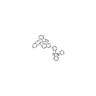 c1ccc(-n2c(-c3cccc(-c4ccc5c6c(ccc5c4)-c4c(ccc5ccccc45)C64c5ccccc5-c5ccccc54)c3)nc3ccccc32)cc1